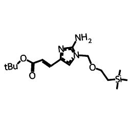 CC(C)(C)OC(=O)/C=C/c1cn(COCC[Si](C)(C)C)c(N)n1